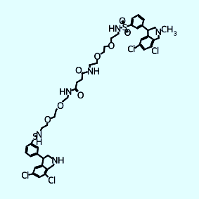 CN1Cc2c(Cl)cc(Cl)cc2C(c2cccc(S(=O)(=O)NCCOCCOCCNC(=O)CCC(=O)NCCOCCOCCNSc3cccc(C4CNCc5c(Cl)cc(Cl)cc54)c3)c2)C1